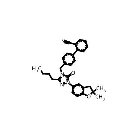 CCCCc1nn(-c2ccc3c(c2)CC(C)(C)O3)c(=O)n1Cc1ccc(-c2ccccc2C#N)cc1